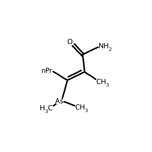 CCC/C(=C(/C)C(N)=O)[As](C)C